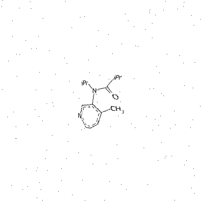 Cc1ccncc1N(C(=O)C(C)C)C(C)C